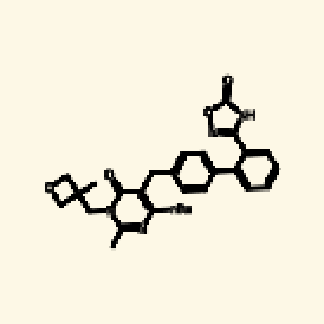 CCCCc1nc(C)n(CC2(C)COC2)c(=O)c1Cc1ccc(-c2ccccc2-c2noc(=O)[nH]2)cc1